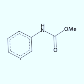 COC(=O)Nc1c[c]ccc1